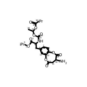 CC(C)OC(=O)C(Cc1ccc2c(c1)OC(=O)CC(N)C(=O)O2)NC(=O)OC(C)OC(=O)C(C)C